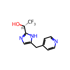 O[C@@H](c1ncc(Cc2ccncc2)[nH]1)C(F)(F)F